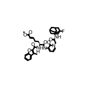 COC(=O)/C=C/CC[C@H](NC(=O)c1oc2ccccc2c1C)C(=O)Nc1cccn(CC(=O)NC23CC4CC(CC(F)(C4)C2)C3)c1=O